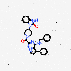 O=C(c1nc(NCc2ccccc2)c2c(-c3ccccc3)ccn2n1)N1CCC(n2c(=O)[nH]c3ccccc32)CC1